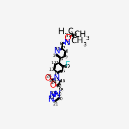 CC(C)(C)ON=Cc1ccc(-c2ccc(N3C[C@H](Cn4ccnn4)OC3=O)cc2F)cn1